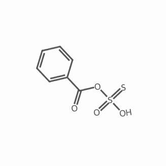 O=C(OS(=O)(O)=S)c1ccccc1